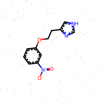 O=[N+]([O-])c1cccc(OCCc2c[nH]cn2)c1